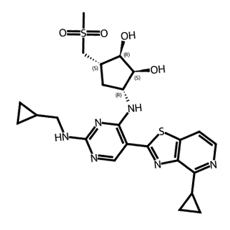 CS(=O)(=O)C[C@H]1C[C@@H](Nc2nc(NCC3CC3)ncc2-c2nc3c(C4CC4)nccc3s2)[C@H](O)[C@@H]1O